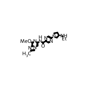 CCN[C@@H]1CCN(c2cnc(C(=O)Nc3cn4cc(C)nc4c(OC)n3)cn2)C1